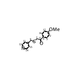 COc1ccc(C(=O)CSCc2ccncc2)cc1